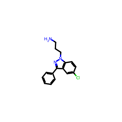 NCCCn1nc(-c2ccccc2)c2cc(Cl)ccc21